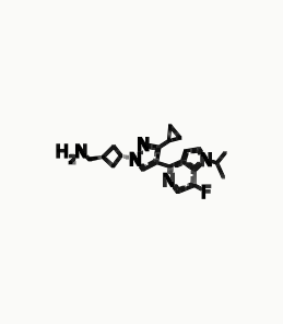 CC(C)n1ccc2c(-c3cn([C@H]4C[C@H](CN)C4)nc3C3CC3)ncc(F)c21